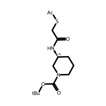 CC(=O)SCC(=O)N[C@H]1CCCN(C(=O)OC(C)(C)C)C1